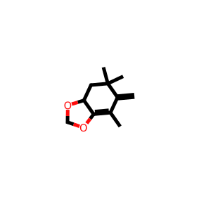 C=C1C(C)=C2OCOC2CC1(C)C